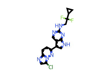 FC(F)(CNc1ncc2c(-c3ccc4ncc(Cl)n4n3)c[nH]c2n1)C1CC1